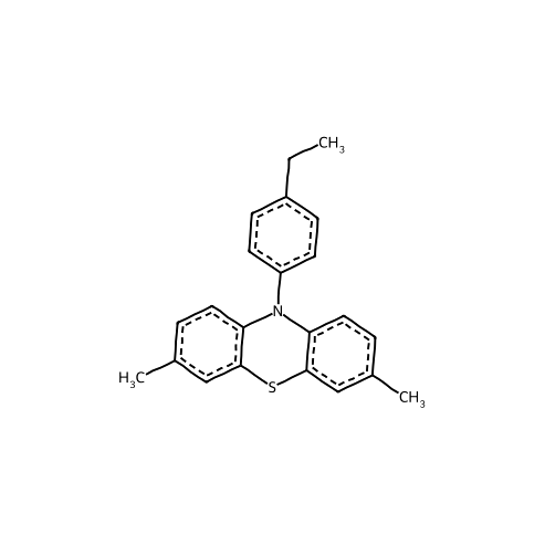 CCc1ccc(N2c3ccc(C)cc3Sc3cc(C)ccc32)cc1